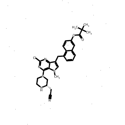 Cn1cc(Cc2cccc3cc(OC(=O)C(C)(C)C)ccc23)c2nc(Cl)nc(N3CCN[C@@H](CC#N)C3)c21